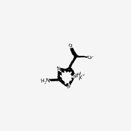 Nc1n[nH]c(C(=O)[O-])n1.[K+]